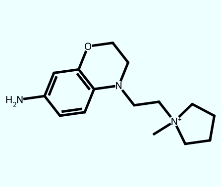 C[N+]1(CCN2CCOc3cc(N)ccc32)CCCC1